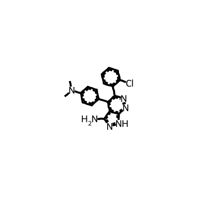 CN(C)c1ccc(-c2c(-c3ccccc3Cl)nnc3[nH]nc(N)c23)cc1